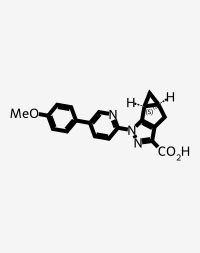 COc1ccc(-c2ccc(-n3nc(C(=O)O)c4c3[C@H]3C[C@H]3C4)nc2)cc1